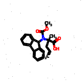 C=CC[C@@](C)(C(=O)O)N(C(=O)OC)C1c2ccccc2-c2ccccc21